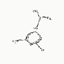 Nc1cccc(Cl)c1.OB(O)O